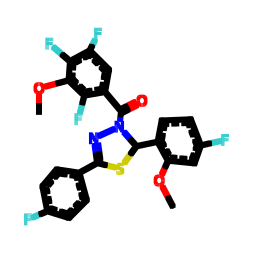 COc1cc(F)ccc1C1SC(c2ccc(F)cc2)=NN1C(=O)c1cc(F)c(F)c(OC)c1F